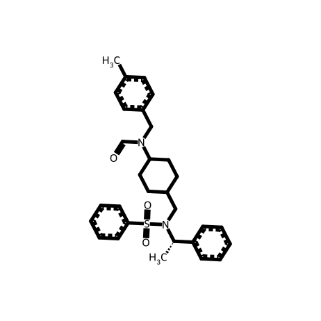 Cc1ccc(CN(C=O)C2CCC(CN([C@@H](C)c3ccccc3)S(=O)(=O)c3ccccc3)CC2)cc1